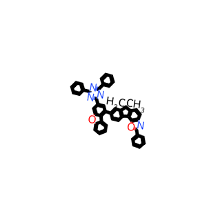 CC1(C)c2cc(-c3cc(-c4nc(-c5ccccc5)nc(-c5ccccc5)n4)cc4oc5ccccc5c34)ccc2-c2c1ccc1nc(-c3ccccc3)oc21